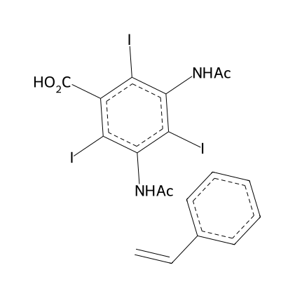 C=Cc1ccccc1.CC(=O)Nc1c(I)c(NC(C)=O)c(I)c(C(=O)O)c1I